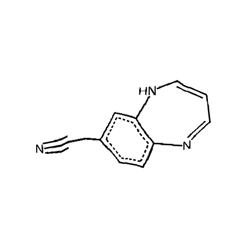 N#Cc1ccc2c(c1)NC=CC=N2